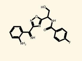 N=C(c1noc(C(CO)NC(=O)c2ccc(F)cc2)n1)c1ccccc1N